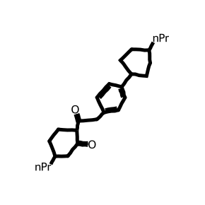 CCCC1CCC(c2ccc(CC(=O)C3CCC(CCC)CC3=O)cc2)CC1